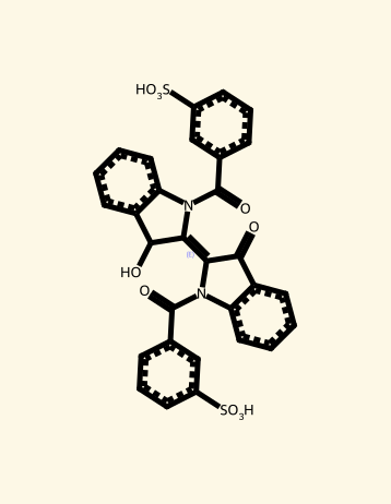 O=C1/C(=C2/C(O)c3ccccc3N2C(=O)c2cccc(S(=O)(=O)O)c2)N(C(=O)c2cccc(S(=O)(=O)O)c2)c2ccccc21